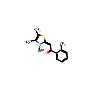 CCCCN1C(=CC(=O)c2ccccc2C(F)(F)F)SC(C)=C1C